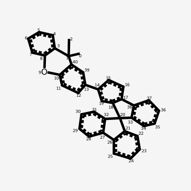 CC1(C)c2ccccc2Oc2ccc(-c3ccc4c(c3)C3(c5ccccc5-c5ccccc53)c3ccccc3-4)cc21